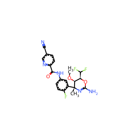 CO[C@H]1[C@@H](C(F)F)OC(N)=N[C@]1(C)c1cc(NC(=O)c2ccc(C#N)cn2)ccc1F